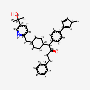 CC1C=CC(c2ccc(C(C(=O)CCc3ccccc3)C3CCC(Cc4ccc(C(C)(C)O)cn4)CC3)cc2)=C1